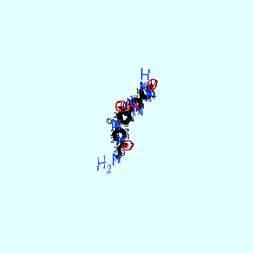 CN(c1ccc(-c2ncc(-c3cnc(=O)[nH]c3)cn2)c(O)c1)C1CCN(C(=O)CCN)CC1